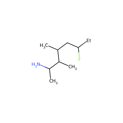 CCC(F)CC(C)C(C)C(C)N